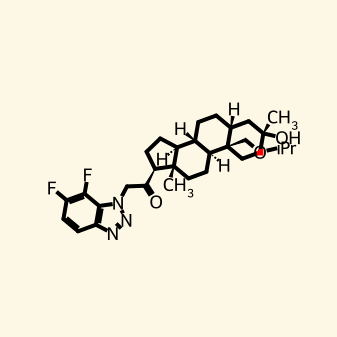 CC(C)OC[C@]12CC[C@@](C)(O)C[C@H]1CC[C@H]1[C@@H]3CC[C@H](C(=O)Cn4nnc5ccc(F)c(F)c54)[C@@]3(C)CC[C@@H]12